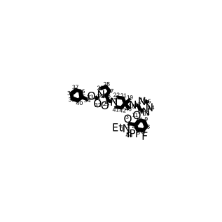 CCN(C(=O)c1cc(F)ccc1Oc1nncnc1N1CC2(CCN(C(=O)C3CCCN3C(=O)OCc3ccccc3)CC2)C1)C(C)C